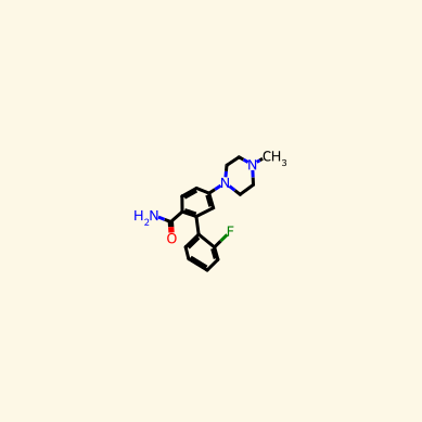 CN1CCN(c2ccc(C(N)=O)c(-c3ccccc3F)c2)CC1